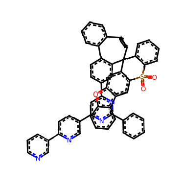 O=S1(=O)c2ccccc2C2(c3ccccc3-c3ccccc3-c3ccc(-c4cc(-c5ccc(-c6cccnc6)nc5)nc(-c5ccccc5)n4)cc32)c2cc3oc4ccccc4c3cc21